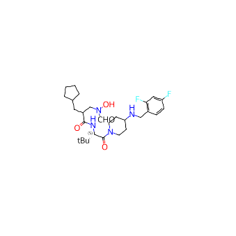 CC(C)(C)[C@H](NC(=O)C(CC1CCCC1)CN(O)C=O)C(=O)N1CCC(NCc2ccc(F)cc2F)CC1